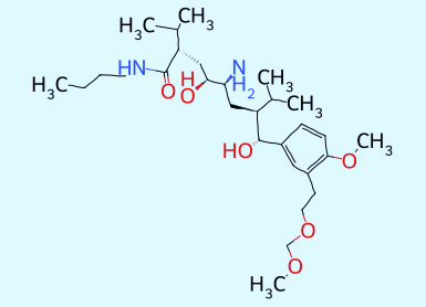 CCCCNC(=O)[C@@H](C[C@H](O)[C@@H](N)C[C@@H](C(C)C)[C@@H](O)c1ccc(OC)c(CCOCOC)c1)C(C)C